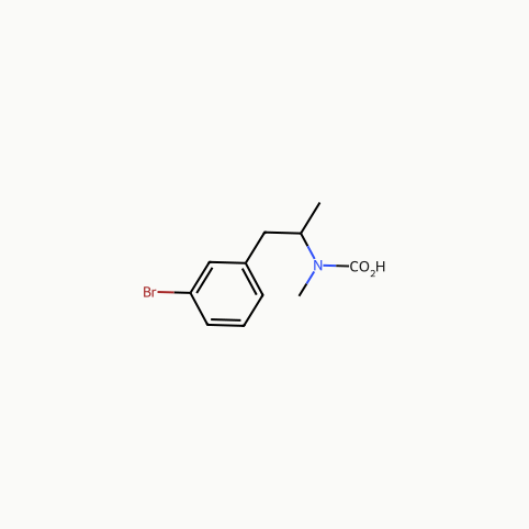 CC(Cc1cccc(Br)c1)N(C)C(=O)O